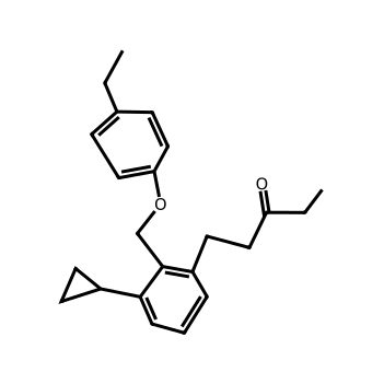 CCC(=O)CCc1cccc(C2CC2)c1COc1ccc(CC)cc1